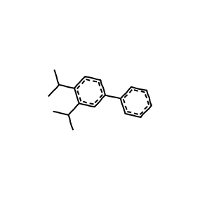 CC(C)c1ccc(-c2ccccc2)cc1C(C)C